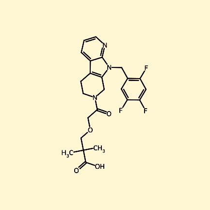 CC(C)(COCC(=O)N1CCc2c(n(Cc3cc(F)c(F)cc3F)c3ncccc23)C1)C(=O)O